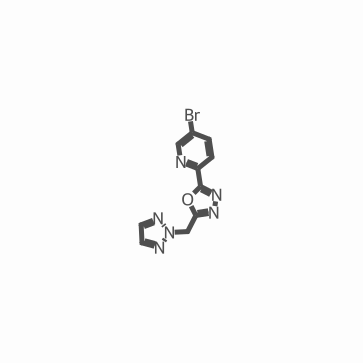 Brc1ccc(-c2nnc(Cn3nccn3)o2)nc1